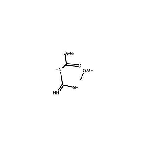 COC.COC(=O)NC(=N)S